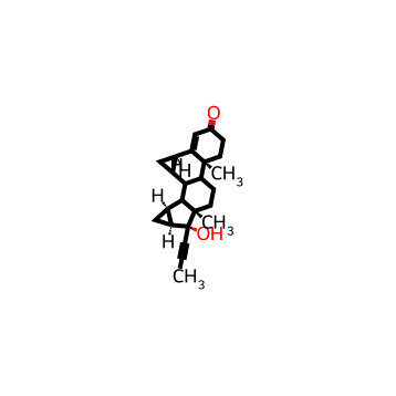 CC#C[C@]1(O)[C@H]2C[C@H]2C2C3C(CC[C@@]21C)[C@@]1(C)CCC(=O)C=C1[C@@H]1C[C@H]31